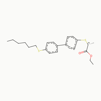 CCCCCCSc1ccc(-c2ccc(S[C@H](C)C(=O)OCC)cc2)cc1